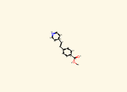 COC(=O)c1ccc(C=Cc2ccncc2)cc1